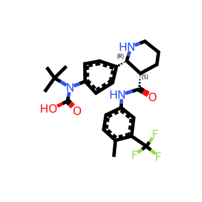 Cc1ccc(NC(=O)[C@H]2CCCN[C@H]2c2ccc(N(C(=O)O)C(C)(C)C)cc2)cc1C(F)(F)F